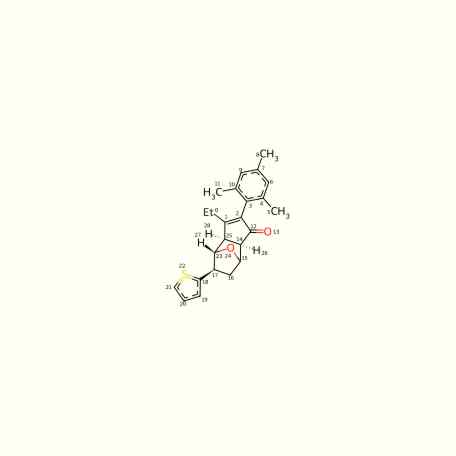 CCC1=C(c2c(C)cc(C)cc2C)C(=O)[C@H]2C3C[C@@H](c4cccs4)[C@@H](O3)[C@@H]12